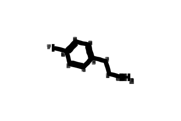 BCCc1ccc(I)cc1